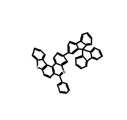 c1ccc(-c2nc3cc(-c4ccc5c(c4)C4(c6ccccc6-c6ccccc64)c4ccccc4-5)ccc3c3c2ccc2sc4ccccc4c23)cc1